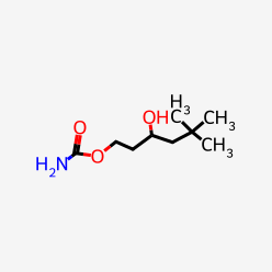 CC(C)(C)CC(O)CCOC(N)=O